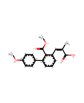 COC(=O)c1c(C=C(C)C(=O)O)cccc1-c1ccc(OC)cc1